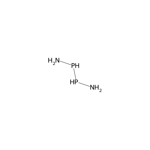 NPPN